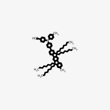 C#Cc1ccc(N(c2ccc(C)cc2)c2ccc(-c3ccc4c(c3)C(CCCCCCCC)(CCCCCCCC)c3cc5c(cc3-4)C(CCCCCCCC)(CCCCCCCC)c3cc(C)ccc3-5)cc2)cc1